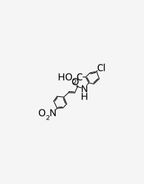 O=C(/C=C/c1ccc([N+](=O)[O-])cc1)Nc1ccc(Cl)cc1C(=O)O